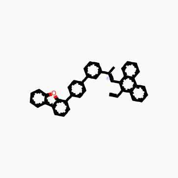 C=Cc1c(/C=C(\C)c2cccc(-c3ccc(-c4cccc5c4oc4ccccc45)cc3)c2)c2ccccc2c2ccccc12